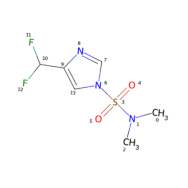 CN(C)S(=O)(=O)n1cnc(C(F)F)c1